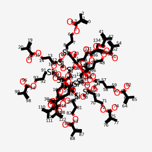 C=C(C)C(=O)OCCC[Si]12O[Si]3(CCCOC(=O)C(=C)C)O[Si]4(CCCOC(=O)C(=C)C)O[Si](CCCOC(=O)C(=C)C)(O1)O[Si]1(CCCOC(=O)C(=C)C)O[Si](CCCOC(=O)C(=C)C)(O2)O[Si]2(CCCOC(=O)C(=C)C)O[Si]5(CCCOC(=O)C(=C)C)O[Si](CCCOC(=O)C(=C)C)(O3)O[Si](CCCOC(=O)C(=C)C)(O4)O[Si](CCCOC(=O)C(=C)C)(O5)[Si](CCCOC(=O)C(=C)C)(O1)O2